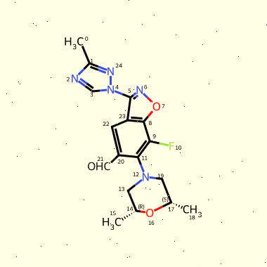 Cc1ncn(-c2noc3c(F)c(N4C[C@@H](C)O[C@@H](C)C4)c(C=O)cc23)n1